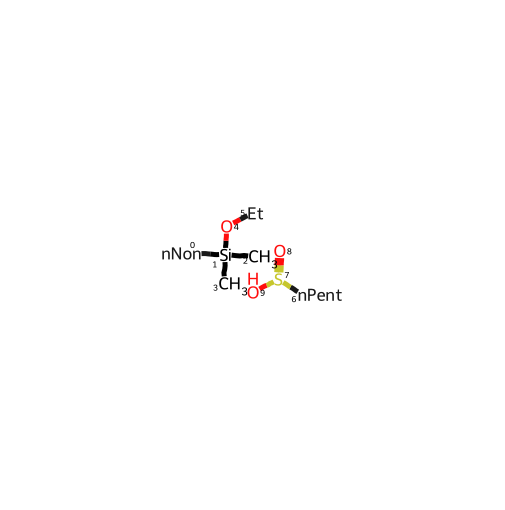 CCCCCCCCC[Si](C)(C)OCC.CCCCCS(=O)O